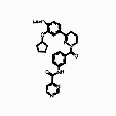 COc1ccc(C2=NN(C(=O)c3cccc(NC(=O)c4ccncn4)c3)CCC2)cc1OC1CCCC1